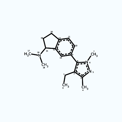 CCc1c(C)nn(C)c1-c1ccc2c(c1)C(N(C)C)CC2